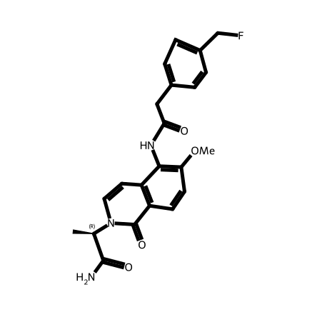 COc1ccc2c(=O)n([C@H](C)C(N)=O)ccc2c1NC(=O)Cc1ccc(CF)cc1